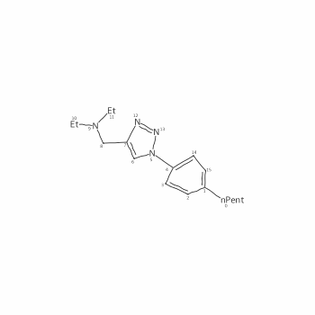 CCCCCc1ccc(-n2cc(CN(CC)CC)nn2)cc1